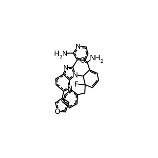 NC(=O)C1=CC=CC(F)(Cc2ccccc2)C1n1c(-c2cccnc2N)nc2ccc(-c3ccoc3)nc21